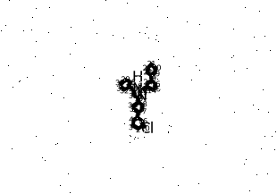 Clc1cccc(-c2ccc(C3=NN(c4cccc(-c5ccccc5)c4)NC(c4ccccc4)=C3)cc2)c1